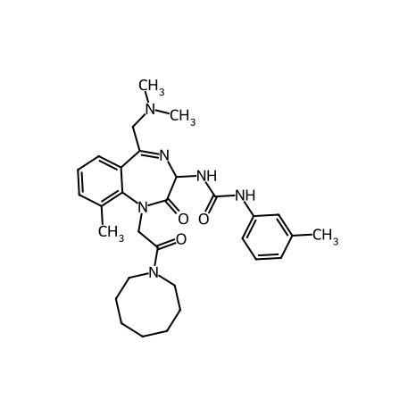 Cc1cccc(NC(=O)NC2N=C(CN(C)C)c3cccc(C)c3N(CC(=O)N3CCCCCCC3)C2=O)c1